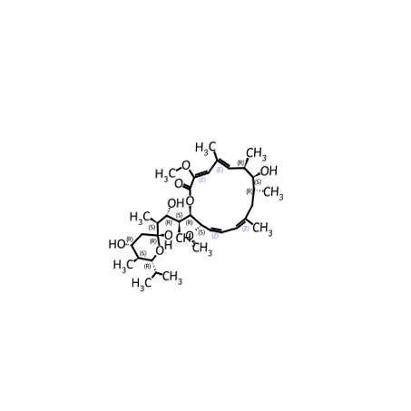 CO/C1=C\C(C)=C\[C@@H](C)[C@@H](O)[C@H](C)C/C(C)=C\C=C/[C@H](OC)[C@@H]([C@@H](C)[C@@H](O)[C@H](C)[C@@]2(O)C[C@@H](O)[C@H](C)[C@@H](C(C)C)O2)OC1=O